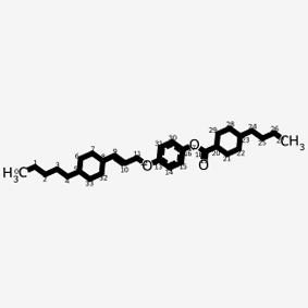 CCCCCC1CCC(C=CCOc2ccc(OC(=O)C3CCC(CCCC)CC3)cc2)CC1